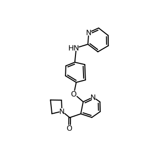 O=C(c1cccnc1Oc1ccc(Nc2ccccn2)cc1)N1CCC1